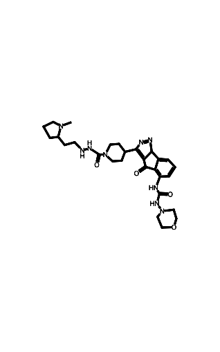 CN1CCCC1CCNNC(=O)N1CCC(C2=C3C(=O)c4c(NC(=O)NN5CCOCC5)cccc4C3N=N2)CC1